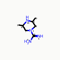 CC1CN(C(=N)N)CC(C)N1